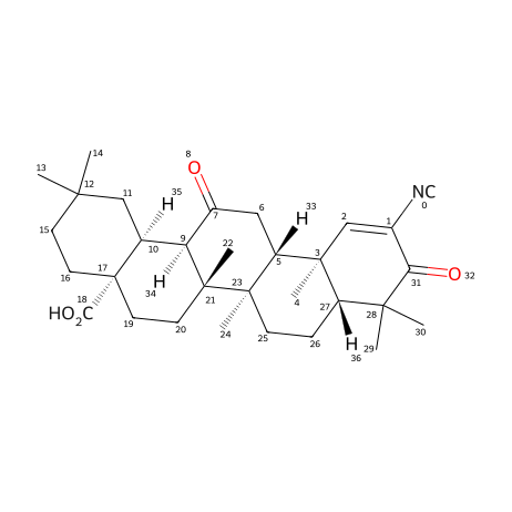 [C-]#[N+]C1=C[C@]2(C)[C@H]3CC(=O)[C@@H]4[C@@H]5CC(C)(C)CC[C@]5(C(=O)O)CC[C@@]4(C)[C@]3(C)CC[C@H]2C(C)(C)C1=O